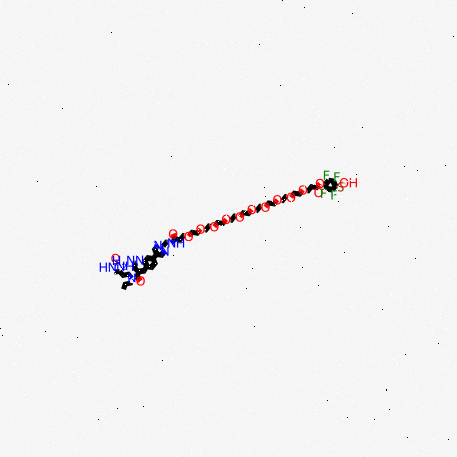 CCCN(CCC1CNC(=O)N1)C(=O)C1=Cc2ccc(-c3cnc(CNC(=O)CCOCCOCCOCCOCCOCCOCCOCCOCCOCCOCCC(=O)Oc4c(F)c(F)c(SO)c(F)c4F)nc3)cc2N=C(N)C1